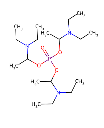 CCN(CC)C(C)OP(=O)(OC(C)N(CC)CC)OC(C)N(CC)CC